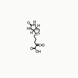 O=[14C]=C(CCC[C@@H]1SC[C@@H]2NC(=O)N[C@@H]21)C(=O)O